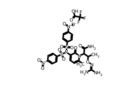 Cc1ccc(N(S(=O)(=O)c2ccc([N+](=O)[O-])cc2)S(=O)(=O)c2ccc([N+](=O)[O-])cc2)c(=O)n1C(C(N)=O)C(C)ON=C(N)N.O=C(O)C(F)(F)F